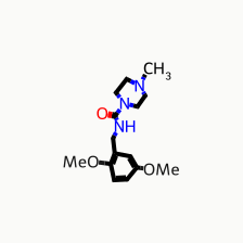 COc1ccc(OC)c(CNC(=O)N2CCN(C)CC2)c1